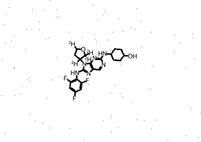 [2H]C1CC([2H])(n2c(Nc3c(F)cc(F)cc3F)nc3cnc(NC4CCC(O)CC4)nc32)C([2H])([2H])O1